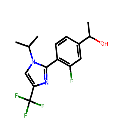 CC(O)c1ccc(-c2nc(C(F)(F)F)cn2C(C)C)c(F)c1